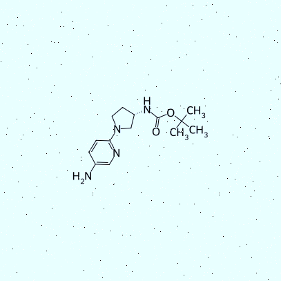 CC(C)(C)OC(=O)N[C@H]1CCN(c2ccc(N)cn2)C1